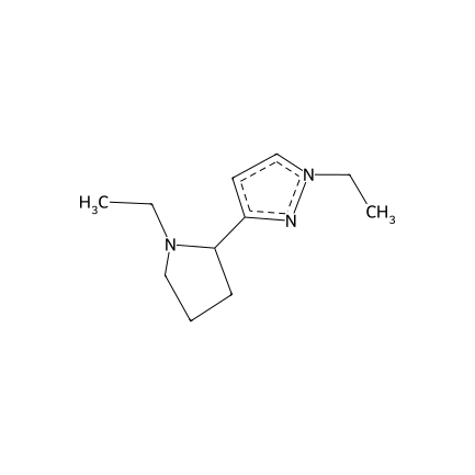 CCN1CCCC1c1ccn(CC)n1